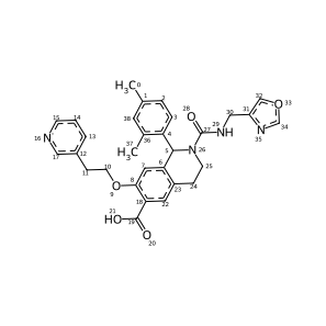 Cc1ccc(C2c3cc(OCCc4cccnc4)c(C(=O)O)cc3CCN2C(=O)NCc2cocn2)c(C)c1